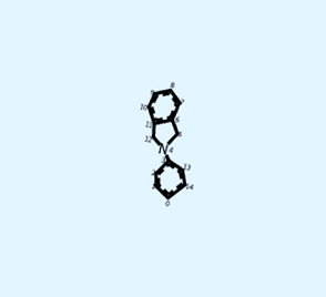 c1ccc(N2Cc3ccccc3C2)cc1